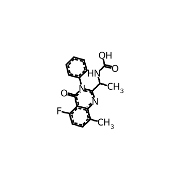 Cc1ccc(F)c2c(=O)n(-c3ccccc3)c(C(C)NC(=O)O)nc12